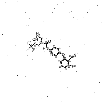 CCN(C[C@@H](O)C(F)(F)F)C(=O)Nc1ccc(Oc2cccc(F)c2C#N)cn1